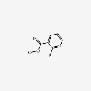 N=C(OCl)c1ccccc1F